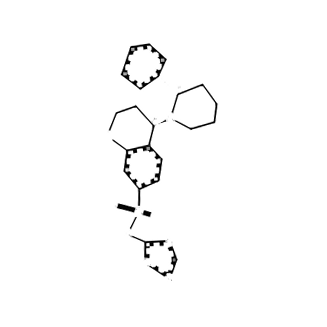 O=S(=O)(Nc1ncns1)c1ccc2c(c1)OCC[C@H]2N1CCCC[C@H]1c1ccccc1